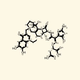 CCn1cc(C[N+]2(CC3=C(C(=O)[O-])N4C(=O)[C@@H](NC(=O)/C(=N\O[C@@H](CC(=O)O)C(=O)O)c5nc(N)sc5Cl)[C@H]4SC3)CCCC2)c(=O)c2cc(O)c(O)cc21